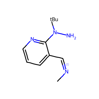 C/N=C\c1cccnc1N(N)C(C)(C)C